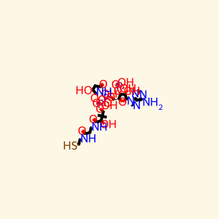 CC(C)(COP(=O)(O)OP(=O)(O)OC[C@H]1O[C@@H](n2cnc3c(N)ncnc32)[C@H](O)[C@@H]1OP(=O)(O)O)C(O)C(=O)NCCC(=O)NCCS.O=C1CC(O)C(=O)N1